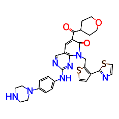 O=C(c1cc2cnc(Nc3ccc(N4CCNCC4)cc3)nc2n(Cc2sccc2-c2nccs2)c1=O)C1CCOCC1